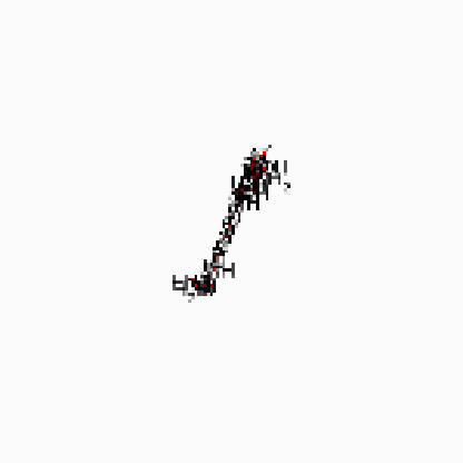 C=C/C=C/C=C(\C)[C@H](C[C@@H]1CC[C@@H](C)[C@](O)(C(=O)C(=O)N2CCCC[C@H]2C(=O)O[C@@H](C[C@@H](O)[C@H](C)/C=C(\C)[C@@H](O)[C@@H](O)/C(=N/OCC(=O)NCCOCCOCCOCCOCCOCCOCCOCCOCCC(=O)NCCCCn2nc(-c3cnc4[nH]ccc4c3)c3c(N)ncnc32)[C@H](C)CC(C)C)[C@H](N)C[C@@H]2CC[C@@H](O)[C@H](OC)C2)O1)OC